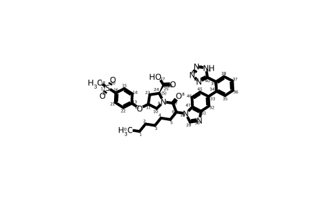 CCCCCCC(C(=O)N1CC(Oc2ccc(S(C)(=O)=O)cc2)C[C@H]1C(=O)O)n1cnc2cc(-c3ccccc3-c3nnn[nH]3)ccc21